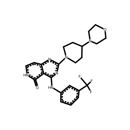 O=c1[nH]ccc2nc(N3CCC(N4CCOCC4)CC3)nc(Nc3cccc(C(F)(F)F)c3)c12